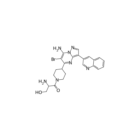 Nc1c(Br)c(C2CCN(C(=O)C(N)CO)CC2)nc2c(-c3cnc4ccccc4c3)cnn12